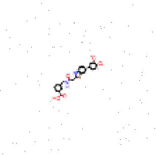 COc1ccc(-c2ccc3nc(CC(=O)NCc4cccc(C(=O)O)c4)sc3c2)cc1OC